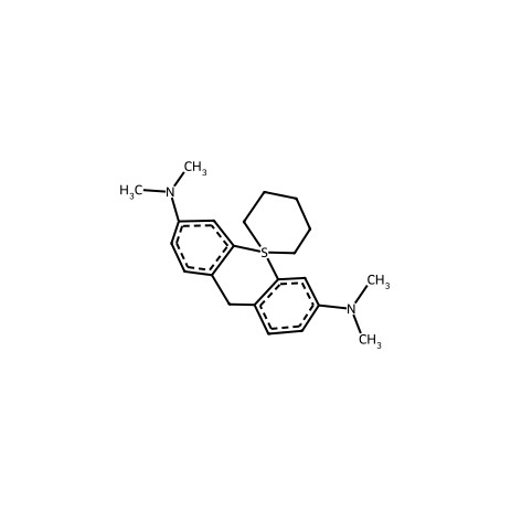 CN(C)c1ccc2c(c1)S1(CCCCC1)c1cc(N(C)C)ccc1C2